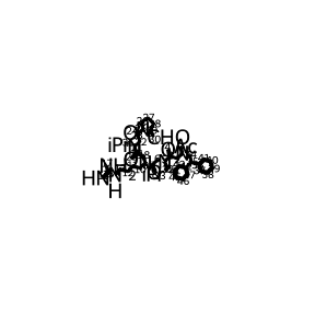 CC(=O)N(CC(=O)N(CC(=O)N(CCCCNC(=N)N)CC(=O)N(CC(=O)N1CCCC1C=O)C(C)C)CC(C)C)CC(c1ccccc1)c1ccccc1